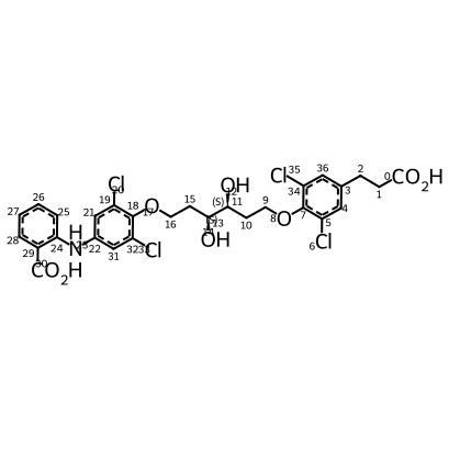 O=C(O)CCc1cc(Cl)c(OCC[C@H](O)[C@@H](O)CCOc2c(Cl)cc(Nc3ccccc3C(=O)O)cc2Cl)c(Cl)c1